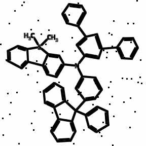 CS1(C)c2ccccc2-c2ccc(N(c3cc(-c4ccccc4)cc(-c4ccccc4)c3)c3cccc(C4(c5ccccc5)c5ccccc5-c5ccccc54)c3)cc21